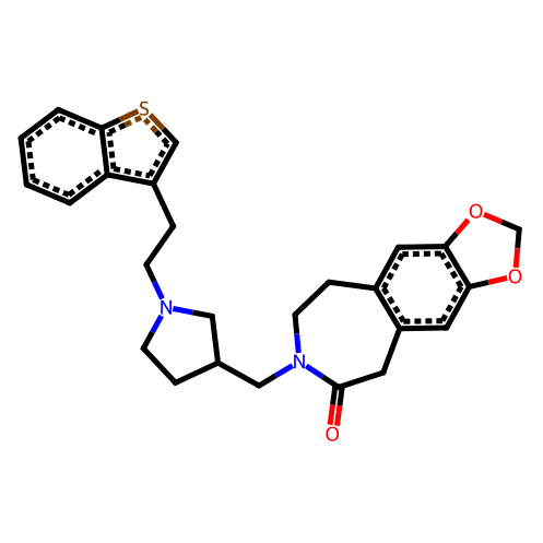 O=C1Cc2cc3c(cc2CCN1CC1CCN(CCc2csc4ccccc24)C1)OCO3